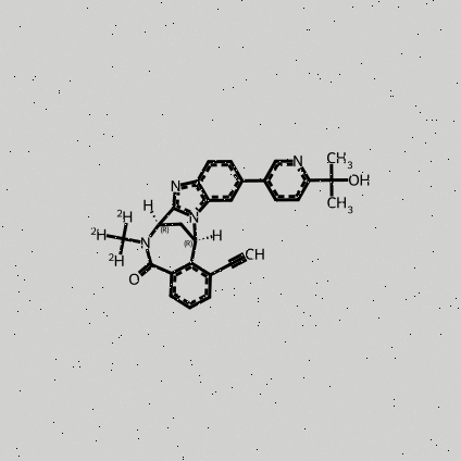 [2H]C([2H])([2H])N1C(=O)c2cccc(C#C)c2[C@H]2C[C@@H]1c1nc3ccc(-c4ccc(C(C)(C)O)nc4)cc3n12